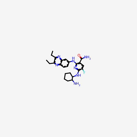 CCc1nc2ccc(Nc3nc(NC4CCCCC4N)c(F)cc3C(N)=O)cc2nc1CC